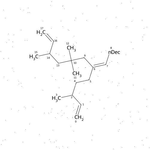 C=CC(C)CCC(=CCCCCCCCCCC)CC(C)(C)CC(C)C=C